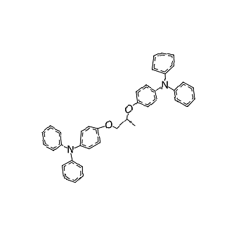 CC(COc1ccc(N(c2ccccc2)c2ccccc2)cc1)Oc1ccc(N(c2ccccc2)c2ccccc2)cc1